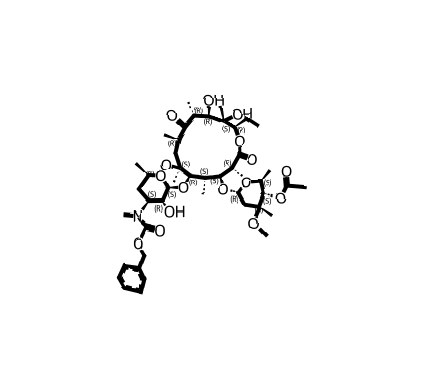 CC[C@H]1OC(=O)[C@H](C)[C@@H](O[C@H]2C[C@@](C)(OC)[C@@H](OC(C)=O)[C@H](C)O2)[C@H](C)[C@@H](O[C@@H]2O[C@H](C)C[C@H](N(C)C(=O)OCc3ccccc3)[C@H]2O)[C@@](C)(OC)C[C@@H](C)C(=O)[C@H](C)[C@@H](O)[C@]1(C)O